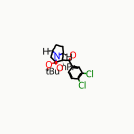 CCC[C@]1(C(=O)c2ccc(Cl)c(Cl)c2)CC[C@@H]2CC[C@H]1N2C(=O)OC(C)(C)C